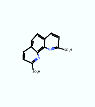 O=S(=O)(O)c1ccc2ccc3ccc(S(=O)(=O)O)nc3c2n1